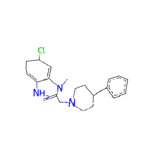 C=C(CN1CCC(c2ccccc2)CC1)N(C)C1=CC(Cl)CC=C1N